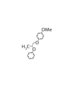 COc1ccc(OCC(C)Oc2ccccc2)cc1